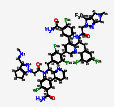 C/N=C/c1nn(CC(=O)NC(Cc2cc(F)c(-c3cnc(C(Cc4cc(F)cc(F)c4)NC(=O)Cn4nc5c(c4C(F)(F)F)CN(C)C5)c(-c4ccc(F)c(C(N)=O)c4)c3)c(F)c2)c2ncccc2-c2ccc(F)c(C(N)=O)c2)c2c1CCC2